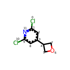 Clc1cc(C2COC2)cc(Cl)n1